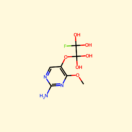 COc1nc(N)ncc1OC(O)(O)C(O)(O)F